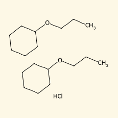 CCCOC1CCCCC1.CCCOC1CCCCC1.Cl